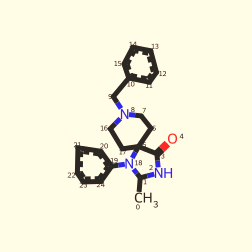 CC1NC(=O)C2(CCN(Cc3ccccc3)CC2)N1c1ccccc1